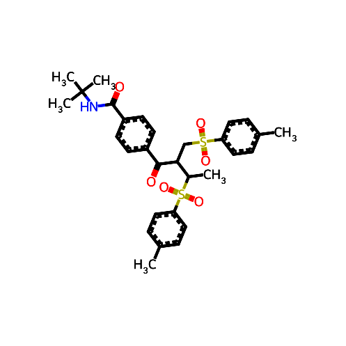 Cc1ccc(S(=O)(=O)CC(C(=O)c2ccc(C(=O)NC(C)(C)C)cc2)C(C)S(=O)(=O)c2ccc(C)cc2)cc1